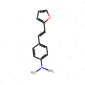 CN(C)c1ccc(/C=C/c2ccco2)cc1